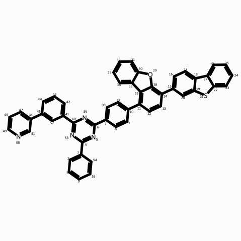 c1ccc(-c2nc(-c3ccc(-c4ccc(-c5ccc6c(c5)sc5ccccc56)c5oc6ccccc6c45)cc3)nc(-c3cccc(-c4cccnc4)c3)n2)cc1